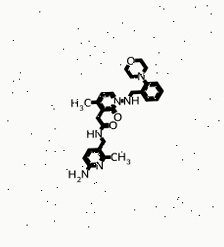 Cc1ccn(NCc2ccccc2N2CCOCC2)c(=O)c1CC(=O)NCc1ccc(N)nc1C